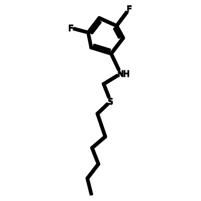 CCCCCCSCNc1cc(F)cc(F)c1